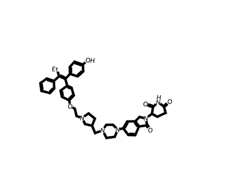 CC/C(=C(\c1ccc(O)cc1)c1ccc(OCCN2CCC(CN3CCN(c4ccc5c(c4)CN(C4CCC(=O)NC4=O)C5=O)CC3)C2)cc1)c1ccccc1